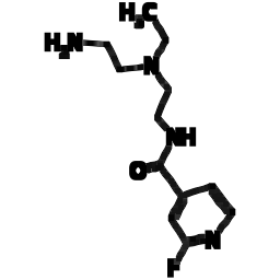 CCN(CCN)CCNC(=O)c1ccnc(F)c1